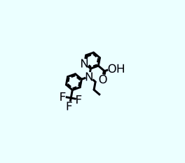 CCCN(c1cccc(C(F)(F)F)c1)c1ncccc1C(=O)O